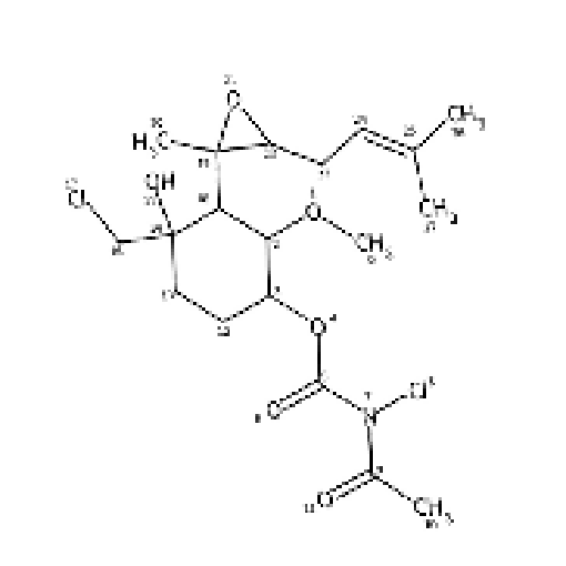 COC1C(OC(=O)N(Cl)C(C)=O)CCC(O)(CCl)C1C1(C)OC1CC=C(C)C